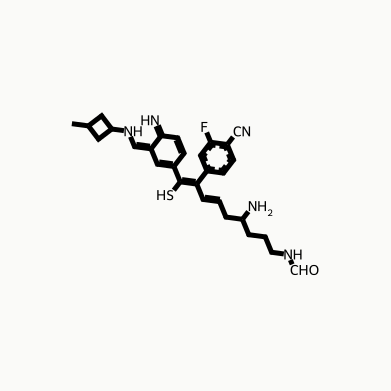 CC1CC(N/C=C2C=C(/C(S)=C(/C=C/CC(N)CCCNC=O)c3ccc(C#N)c(F)c3)C=CC/2=N)C1